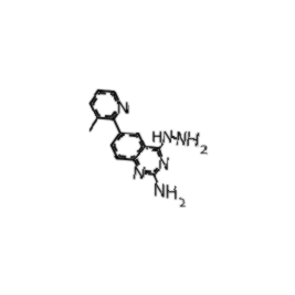 Cc1cccnc1-c1ccc2nc(N)nc(NN)c2c1